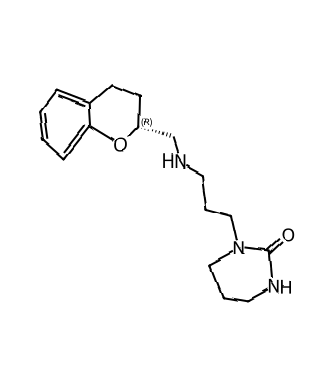 O=C1NCCCN1CCCNC[C@H]1CCc2ccccc2O1